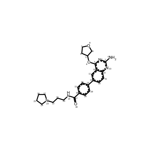 Nc1nc(OC2CCOC2)c2cc(-c3ccc(C(=O)NCCCN4CCCC4)cc3)ccc2n1